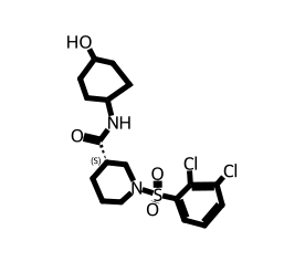 O=C(NC1CCC(O)CC1)[C@H]1CCCN(S(=O)(=O)c2cccc(Cl)c2Cl)C1